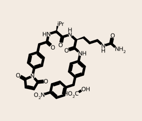 CC(C)[C@H](NC(=O)Cc1ccc(N2C(=O)C=CC2=O)cc1)C(=O)N[C@@H](CCCNC(N)=O)C(=O)Nc1ccc(Cc2ccc([N+](=O)[O-])cc2)cc1.O=C(O)O